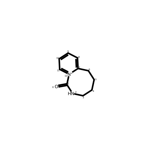 O=C1NCCCCc2cccc[n+]21